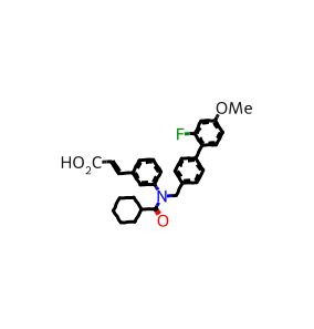 COc1ccc(-c2ccc(CN(C(=O)C3CCCCC3)c3cccc(C=CC(=O)O)c3)cc2)c(F)c1